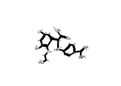 N=C(N)c1ccc(NC(C(=O)O)c2cc(Cl)cc(Br)c2OCCO)cc1